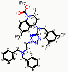 CC(C)OC(=O)N1c2ccc(C(F)(F)F)cc2[C@@H](N(Cc2cc(C(F)(F)F)cc(C(F)(F)F)c2)c2nnn(C[C@H](C)N(Cc3ccccc3)Cc3ccccc3)n2)C[C@H]1C